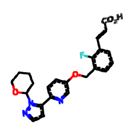 O=C(O)/C=C/c1cccc(COc2ccc(-c3ccnn3C3CCCCO3)nc2)c1F